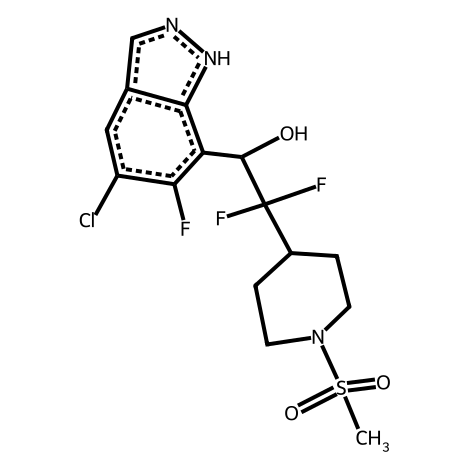 CS(=O)(=O)N1CCC(C(F)(F)C(O)c2c(F)c(Cl)cc3cn[nH]c23)CC1